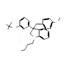 COc1ccc(CC2(c3cccc(OC(F)(F)F)c3)CN(C[C@@H](O)CF)c3ccccc32)cc1